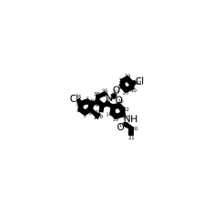 C#Cc1ccc(Cl)cc1C1=C(C)C(c2ccc(NC(=O)C=C)cc2)N(C(=O)Oc2ccc(Cl)cc2)CC1